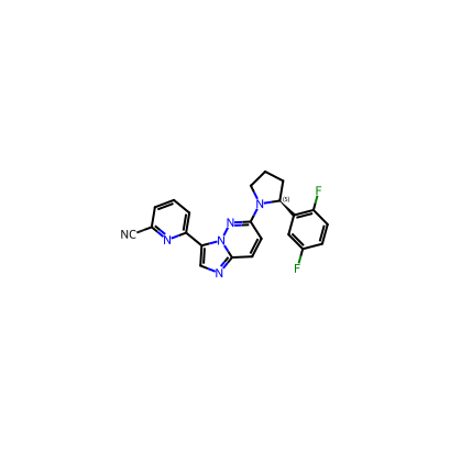 N#Cc1cccc(-c2cnc3ccc(N4CCC[C@H]4c4cc(F)ccc4F)nn23)n1